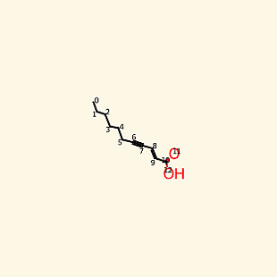 CCCCCCC#C/C=C/C(=O)O